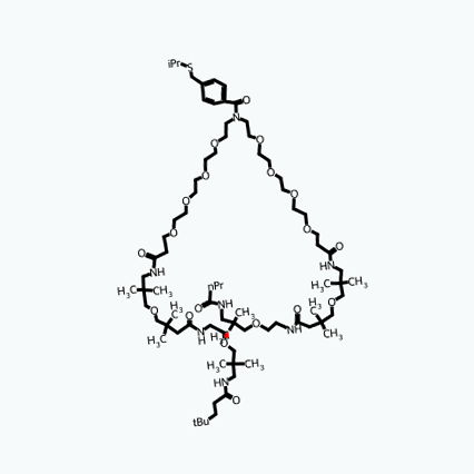 CCCC(=O)NCC(C)(C)COCCNC(=O)CC(C)(C)COCC(C)(C)CNC(=O)CCOCCOCCOCCOCCN(CCOCCOCCOCCOCCC(=O)NCC(C)(C)COCC(C)(C)CC(=O)NCCOCC(C)(C)CNC(=O)CCC(C)(C)C)C(=O)c1ccc(CSC(C)C)cc1